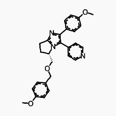 COc1ccc(COC[C@@H]2CCc3nc(-c4ccc(OC)cc4)c(-c4ccncc4)n32)cc1